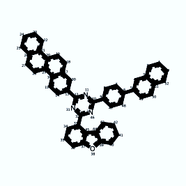 c1ccc2cc(-c3ccc(-c4nc(-c5ccc6c(ccc7c8ccccc8ccc67)c5)nc(-c5cccc6oc7ccccc7c56)n4)cc3)ccc2c1